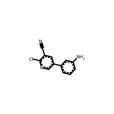 N#Cc1cc(-c2cccc(N)c2)cnc1Cl